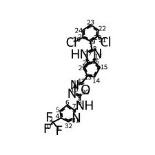 FC(F)(F)c1ccc(Nc2nnc(-c3ccc4nc(-c5c(Cl)cccc5Cl)[nH]c4c3)o2)nc1